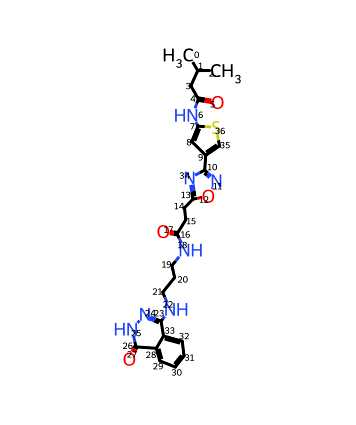 CC(C)CC(=O)Nc1cc(-c2noc(CCC(=O)NCCCNc3n[nH]c(=O)c4ccccc34)n2)cs1